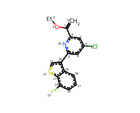 C=C(OCC)c1cc(Cl)cc(-c2csc3c(F)cccc23)n1